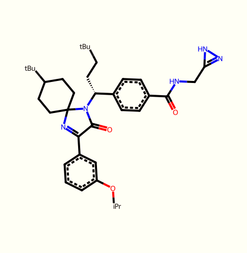 CC(C)Oc1cccc(C2=NC3(CCC(C(C)(C)C)CC3)N([C@H](CCC(C)(C)C)c3ccc(C(=O)NCC4=NN4)cc3)C2=O)c1